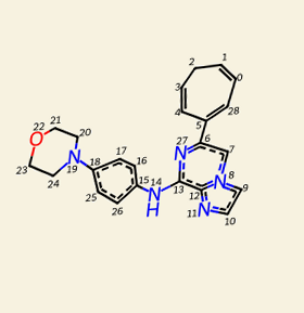 C1=CCC=CC(c2cn3ccnc3c(Nc3ccc(N4CCOCC4)cc3)n2)=C1